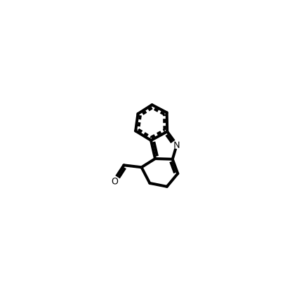 O=CC1CCC=C2N=c3ccccc3=C21